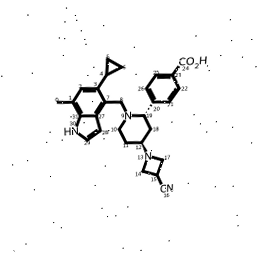 Cc1cc(C2CC2)c(CN2CC[C@H](N3CC(C#N)C3)C[C@H]2c2ccc(C(=O)O)cc2)c2cc[nH]c12